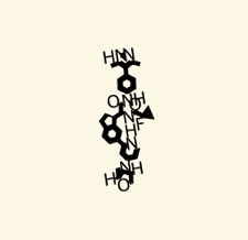 Cc1n[nH]c(C)c1-c1ccc(NC(=O)[C@@H](NC(=O)C2(F)CC2)[C@@H]2CCc3ccc(-c4cc(N5C[C@@H]6C[C@H]5CO6)ccn4)cc32)cc1